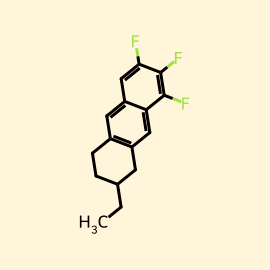 CCC1CCc2cc3cc(F)c(F)c(F)c3cc2C1